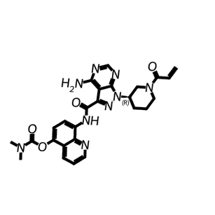 C=CC(=O)N1CCC[C@@H](n2nc(C(=O)Nc3ccc(OC(=O)N(C)C)c4cccnc34)c3c(N)ncnc32)C1